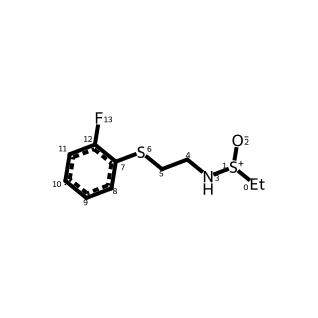 CC[S+]([O-])NCCSc1cc[c]cc1F